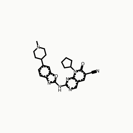 CN1CCC(c2ccc3nc(Nc4ncc5cc(C#N)c(=O)n(C6CCCC6)c5n4)oc3c2)CC1